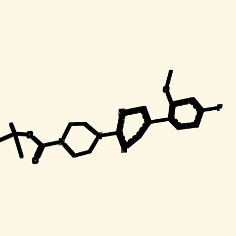 COc1cc(F)ccc1-c1cnc(N2CCN(C(=O)OC(C)(C)C)CC2)nc1